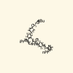 CCCCOCCOc1ccc(-c2ccc3c(c2)C=C(C(=O)Nc2ccc(SCc4nccn4CCC)cc2)CCCN3CC(C)C)cc1